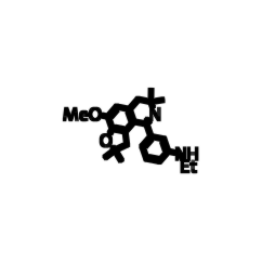 CCNc1cccc(C2=NC(C)(C)Cc3cc(OC)c4c(c32)CC(C)(C)O4)c1